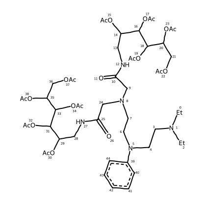 CCN(CC)CCN(CCN(CC(=O)NCC(OC(C)=O)C(OC(C)=O)C(OC(C)=O)C(COC(C)=O)OC(C)=O)CC(=O)NCC(OC(C)=O)C(OC(C)=O)C(OC(C)=O)C(COC(C)=O)OC(C)=O)c1ccccc1